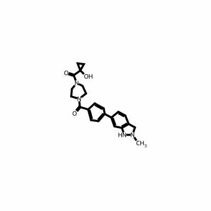 CN1Cc2ccc(-c3ccc(C(=O)N4CCN(C(=O)C5(O)CC5)CC4)cc3)cc2N1